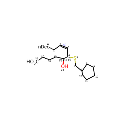 CCCCCCCCCCC/C=C\[C@@H](SCC1CCCCC1)[C@@H](O)CCCC(=O)O